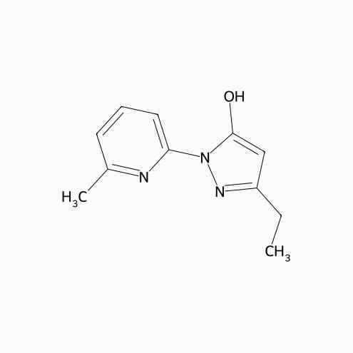 CCc1cc(O)n(-c2cccc(C)n2)n1